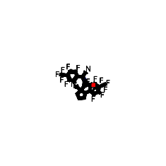 N#C/C(=C1C(N=O)=C\1C1(C#N)CCCC1c1c(F)c(F)c(C(F)(F)F)c(F)c1F)c1c(F)c(F)c(C(F)(F)F)c(F)c1F